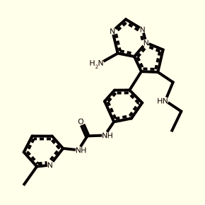 CCNCc1cn2ncnc(N)c2c1-c1ccc(NC(=O)Nc2cccc(C)n2)cc1